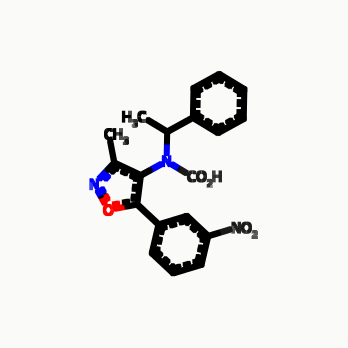 Cc1noc(-c2cccc([N+](=O)[O-])c2)c1N(C(=O)O)C(C)c1ccccc1